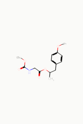 CC(C)Oc1ccc(CC(C)OC(=O)CNC(=O)OC(C)(C)C)cc1